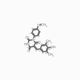 COc1ccc(N2C(=O)NC(=O)/C(=C/c3cc(C)c(O)c(C)c3)C2=O)cc1